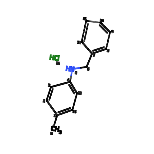 Cc1ccc(NCc2ccccc2)cc1.Cl